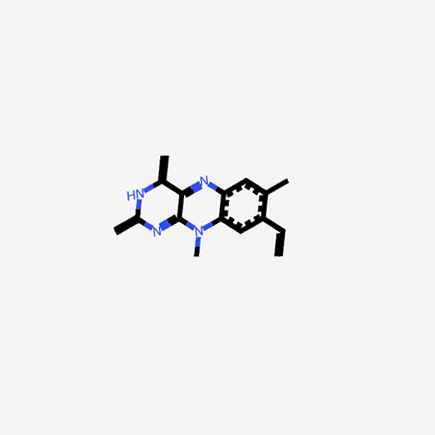 C=Cc1cc2c(cc1C)N=C1C(=C)NC(=C)N=C1N2C